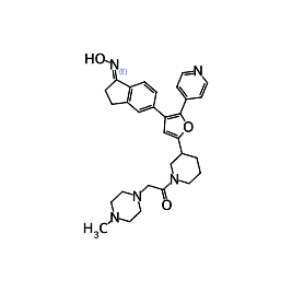 CN1CCN(CC(=O)N2CCCC(c3cc(-c4ccc5c(c4)CC/C5=N\O)c(-c4ccncc4)o3)C2)CC1